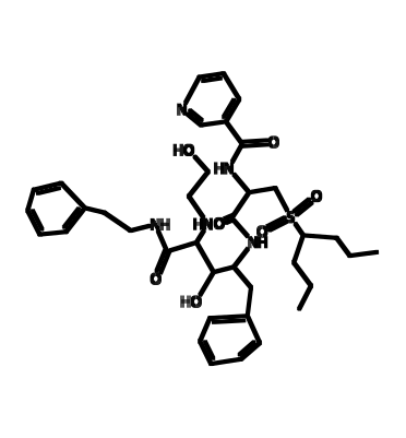 CCCC(CCC)S(=O)(=O)CC(NC(=O)c1cccnc1)C(=O)NC(Cc1ccccc1)C(O)C(NCCO)C(=O)NCCc1ccccc1